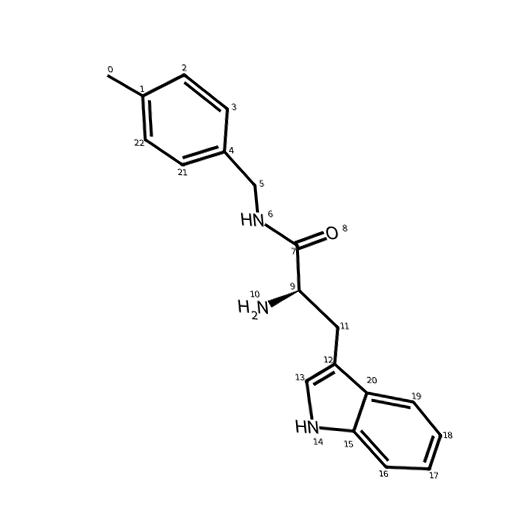 Cc1ccc(CNC(=O)[C@H](N)Cc2c[nH]c3ccccc23)cc1